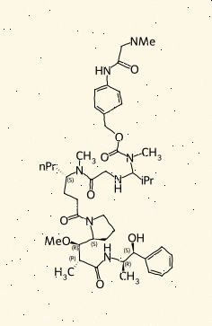 CCC[C@@H](CCC(=O)N1CCC[C@H]1[C@H](OC)[C@@H](C)C(=O)N[C@H](C)[C@@H](O)c1ccccc1)N(C)C(=O)CNC(C(C)C)N(C)C(=O)OCc1ccc(NC(=O)CNC)cc1